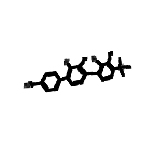 CCCc1ccc(-c2ccc(-c3ccc([Si](C)(C)C)c(F)c3F)c(F)c2F)cc1